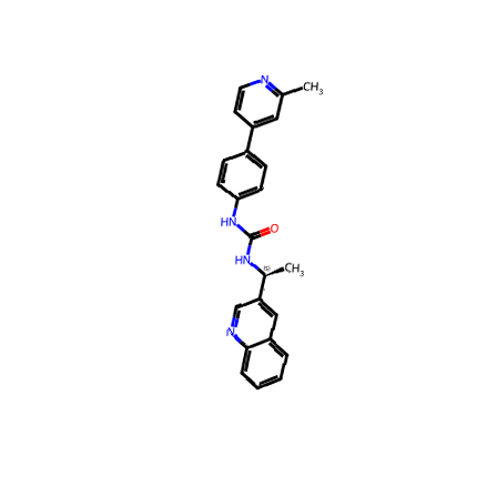 Cc1cc(-c2ccc(NC(=O)N[C@@H](C)c3cnc4ccccc4c3)cc2)ccn1